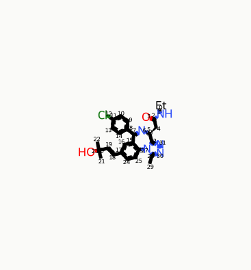 CCNC(=O)C[C@@H]1N=C(c2ccc(Cl)cc2)c2cc(C=CC(C)(C)O)ccc2-n2c(C)nnc21